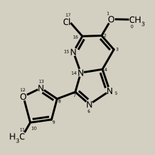 COc1cc2nnc(-c3cc(C)on3)n2nc1Cl